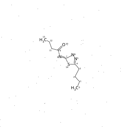 CCCCC1=N[N]C(=NC(=O)CCC)S1